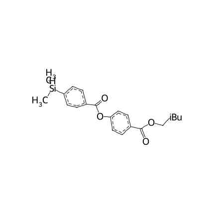 CCC(C)COC(=O)c1ccc(OC(=O)c2ccc([SiH](C)C)cc2)cc1